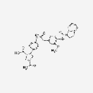 COc1cc(CC(=O)N(C)c2ccc(C3CN(C(C)=O)CC3C(=O)O)cc2)ccc1NC(=O)N1CCc2ccccc21